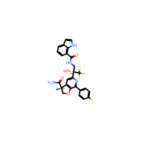 C[C@]1(C(N)=O)COc2c1cc([C@@](O)(CNC(=O)c1cccc3cc[nH]c13)C(F)(F)F)nc2-c1ccc(F)cc1